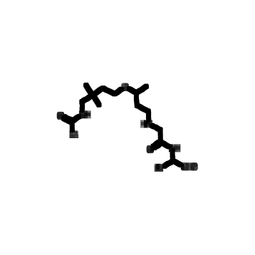 CCC(=O)NCC(C)(C)CCOC(C)CCNCC(=O)NC(C=O)C(C)C